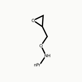 CCCNOCC1CO1